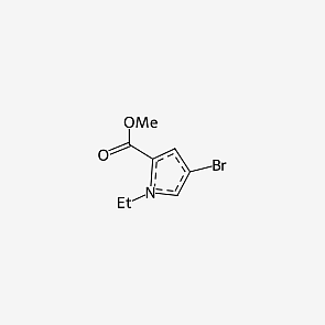 CCn1cc(Br)cc1C(=O)OC